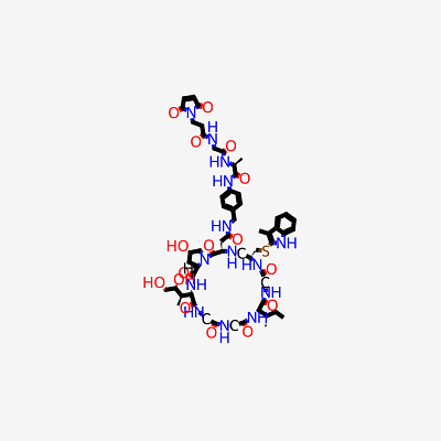 CC[C@H](C)[C@@H]1NC(=O)CNC(=O)CNC(=O)[C@H]([C@@H](C)[C@@H](O)CO)NC(=O)[C@@H]2C[C@@H](O)CN2C(=O)[C@H](CC(=O)NCc2ccc(NC(=O)[C@H](C)NC(=O)CNC(=O)CCN3C(=O)C=CC3=O)cc2)NC[C@H](CSc2[nH]c3ccccc3c2C)NC(=O)CNC1=O